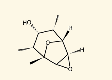 C[C@H]1[C@@H](O)[C@@H](C)[C@]2(C)O[C@H]1[C@H]1OC12